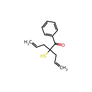 C=CCC(S)(CC=C)C(=O)c1ccccc1